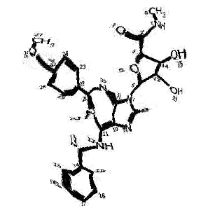 CNC(=O)[C@@H]1OC(n2cnc3c(NCc4ccccc4)nc(-c4ccc(OC)cc4)nc32)C(O)C1O